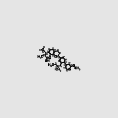 CCN(C)Cc1cc([C@@H]2CCc3ccc([C@H](C4CC4)[C@@H](C)C(=O)O)cc3O2)ccc1-c1ccnc(OC)c1